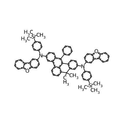 CC1(C)c2cc(N(c3ccc([Si](C)(C)C)cc3)c3ccc4oc5ccccc5c4c3)ccc2-c2c(-c3ccccc3)c3ccc(N(c4ccc([Si](C)(C)C)cc4)c4ccc5oc6ccccc6c5c4)cc3c3cccc1c23